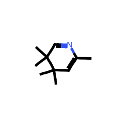 CC1=CC(C)(C)C(C)(C)C=N1